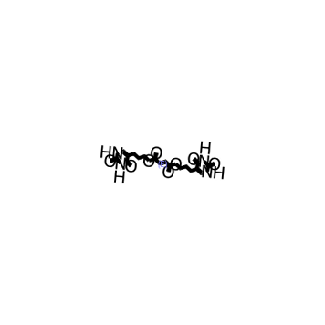 O=C(/C=C/C(=O)OCCCc1c[nH]c(=O)[nH]c1=O)OCCCc1c[nH]c(=O)[nH]c1=O